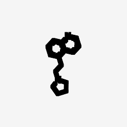 c1cc(CCN2CCCC2)c2cccnc2c1